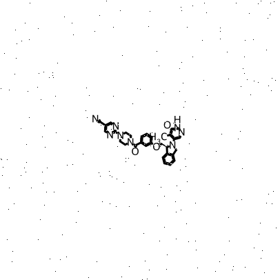 Cc1c(N2Cc3ccccc3[C@H]2COc2cccc(C(=O)N3CCN(c4ncc(C#N)cn4)CC3)c2)cn[nH]c1=O